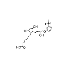 O=C(O)CCCCCC[C@@H]1[C@@H](/C=C/[C@@H](O)COc2cccc(C(F)(F)F)c2)[C@H](O)C[C@@H]1O